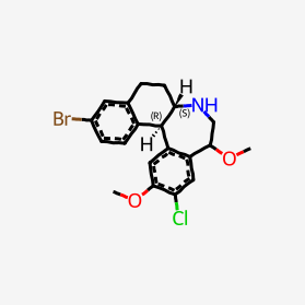 COc1cc2c(cc1Cl)C(OC)CN[C@H]1CCc3cc(Br)ccc3[C@H]21